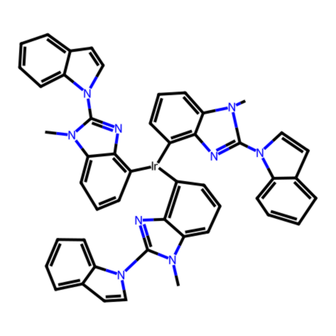 Cn1c(-n2ccc3ccccc32)nc2[c]([Ir]([c]3cccc4c3nc(-n3ccc5ccccc53)n4C)[c]3cccc4c3nc(-n3ccc5ccccc53)n4C)cccc21